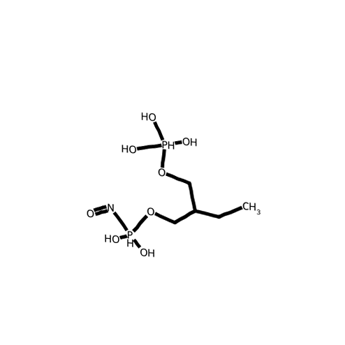 CCC(CO[PH](O)(O)O)CO[PH](O)(O)N=O